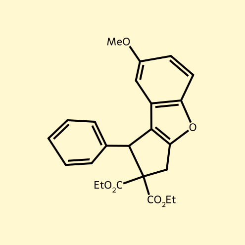 CCOC(=O)C1(C(=O)OCC)Cc2oc3ccc(OC)cc3c2C1c1ccccc1